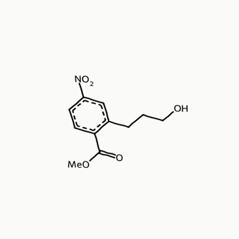 COC(=O)c1ccc([N+](=O)[O-])cc1CCCO